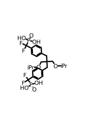 CC(C)OCC(COC(C)C)(Cc1ccc(C(F)(F)P(=O)(O)O)cc1)Cc1ccc(C(F)(F)P(=O)(O)O)cc1